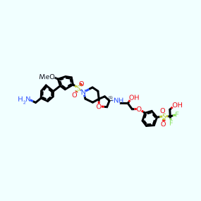 COc1ccc(S(=O)(=O)N2CCC3(CC2)C[C@H](NCC(O)COc2cccc(S(=O)(=O)C(F)(F)CO)c2)CO3)cc1-c1ccc(CN)cc1